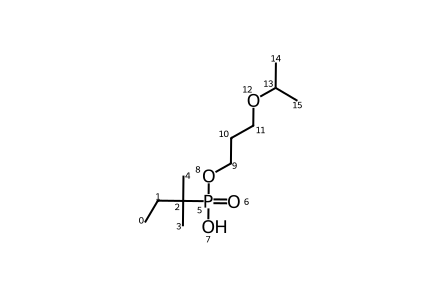 CCC(C)(C)P(=O)(O)OCCCOC(C)C